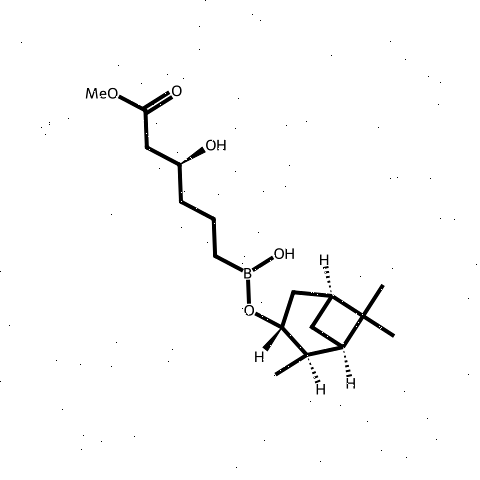 COC(=O)C[C@@H](O)CCCB(O)O[C@@H]1C[C@@H]2C[C@H]([C@H]1C)C2(C)C